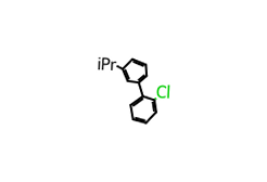 CC(C)c1cccc(-c2ccccc2Cl)c1